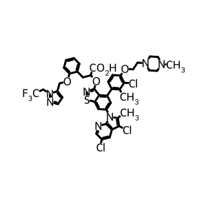 Cc1c(-c2cc(-n3c(C)c(Cl)c4cc(Cl)cnc43)cc3snc(OC(Cc4ccccc4OCc4ccnn4CC(F)(F)F)C(=O)O)c23)ccc(OCCN2CCN(C)CC2)c1Cl